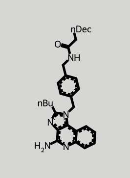 CCCCCCCCCCCC(=O)NCc1ccc(Cn2c(CCCC)nc3c(N)nc4ccccc4c32)cc1